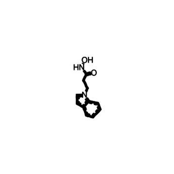 O=C(CCn1ccc2ccccc21)NO